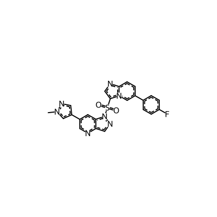 Cn1cc(-c2cnc3cnn(S(=O)(=O)c4cnc5ccc(-c6ccc(F)cc6)cn45)c3c2)cn1